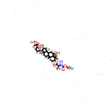 CC(C)[C@H](NC(=O)OC(C)(C)C)C(=O)O[C@H]1CC[C@]23C[C@]24CC[C@]2(C)[C@@H]([C@@]5(C)CC[C@@H](C(C)(C)O)O5)[C@@H](O)C[C@@]2(C)C4C[C@H](O)[C@H]3C1(C)C